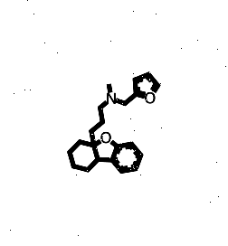 CN(CCCC12CCCCC1c1ccccc1O2)Cc1ccco1